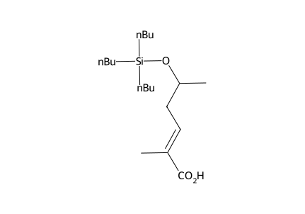 CCCC[Si](CCCC)(CCCC)OC(C)CC=C(C)C(=O)O